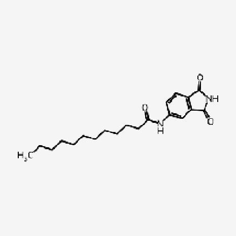 CCCCCCCCCCCC(=O)Nc1ccc2c(c1)C(=O)NC2=O